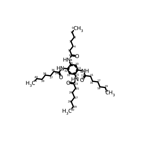 CCCCCCC(=O)Nc1cc(NC(=O)CCCCCC)c(NC(=O)CCCCCC)cc1NC(=O)CCCCCC